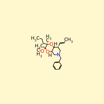 CC=C[C@H]1CN(Cc2ccccc2)C[C@H]2O[C@](C)(OC)[C@@](C)(CCC)O[C@H]12